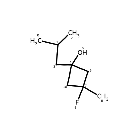 CC(C)CC1(O)CC(C)(F)C1